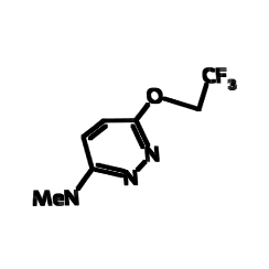 CNc1ccc(OCC(F)(F)F)nn1